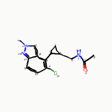 CC(=O)NCC1CC1c1c(Cl)ccc2nn(C)cc12